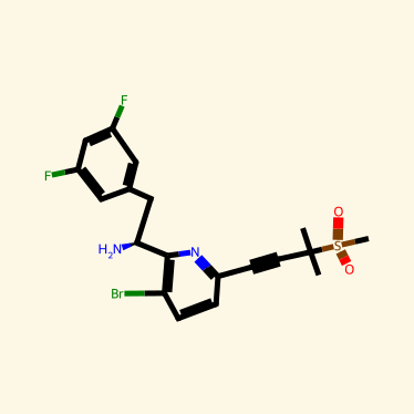 CC(C)(C#Cc1ccc(Br)c([C@@H](N)Cc2cc(F)cc(F)c2)n1)S(C)(=O)=O